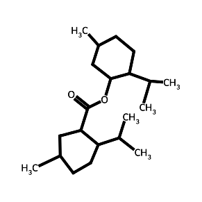 CC1CCC(C(C)C)C(OC(=O)C2CC(C)CCC2C(C)C)C1